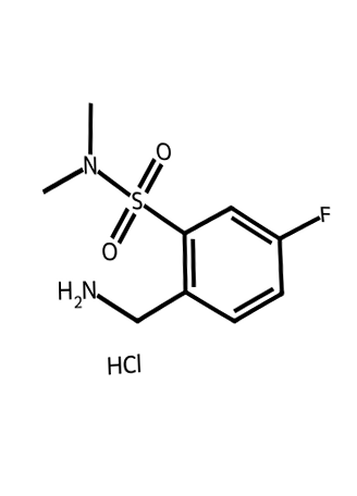 CN(C)S(=O)(=O)c1cc(F)ccc1CN.Cl